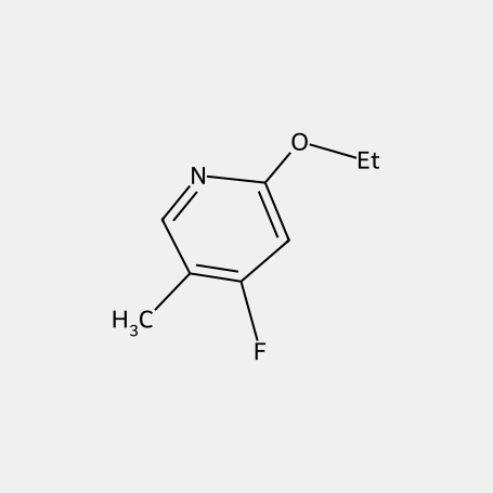 CCOc1cc(F)c(C)cn1